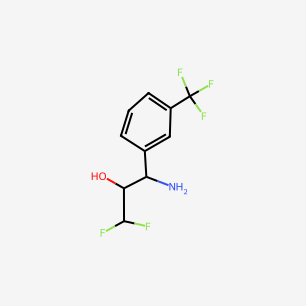 NC(c1cccc(C(F)(F)F)c1)C(O)C(F)F